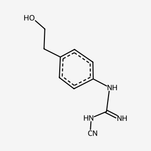 N#CNC(=N)Nc1ccc(CCO)cc1